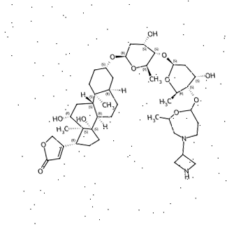 CC1CN(C2CNC2)CCC(O[C@H]2[C@@H](O)C[C@H](O[C@H]3[C@@H](O)C[C@H](O[C@H]4CC[C@@]5(C)[C@H](CC[C@@H]6[C@@H]5C[C@@H](O)[C@]5(C)[C@@H](C7=CC(=O)OC7)CC[C@]65O)C4)O[C@@H]3C)O[C@@H]2C)O1